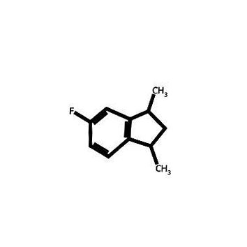 CC1CC(C)c2cc(F)ccc21